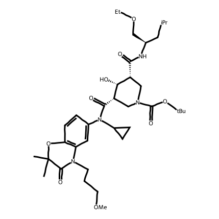 CCOC[C@@H](CC(C)C)NC(=O)[C@@H]1CN(C(=O)OC(C)(C)C)C[C@H](C(=O)N(c2ccc3c(c2)N(CCCOC)C(=O)C(C)(C)O3)C2CC2)[C@@H]1O